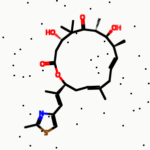 C/C1=C\C[C@@H](/C(C)=C/c2csc(C)n2)OC(=O)C[C@H](O)C(C)(C)C(=O)[C@H](C)[C@@H](O)[C@@H](C)/C=C/C1